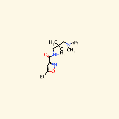 CCCN(C)CC(C)(C)CNC(=O)c1cc(CC)on1